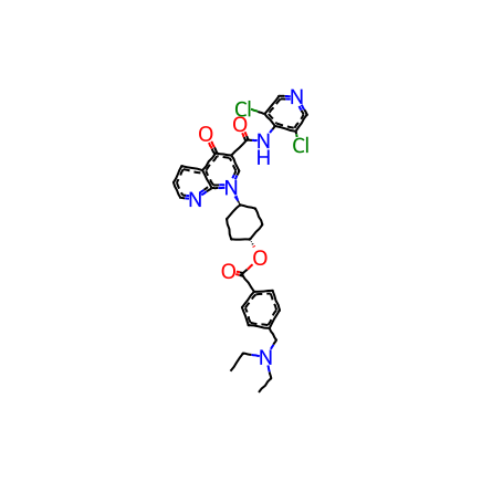 CCN(CC)Cc1ccc(C(=O)O[C@H]2CC[C@H](n3cc(C(=O)Nc4c(Cl)cncc4Cl)c(=O)c4cccnc43)CC2)cc1